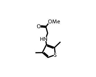 COC(=O)CNc1c(C)csc1C